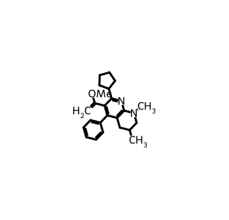 C=C(OC)c1c(C2CCCC2)nc2c(c1-c1ccccc1)CC(C)CN2C